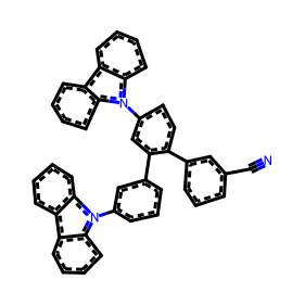 N#Cc1cccc(-c2ccc(-n3c4ccccc4c4ccccc43)cc2-c2cccc(-n3c4ccccc4c4ccccc43)c2)c1